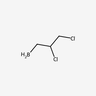 BCC(Cl)CCl